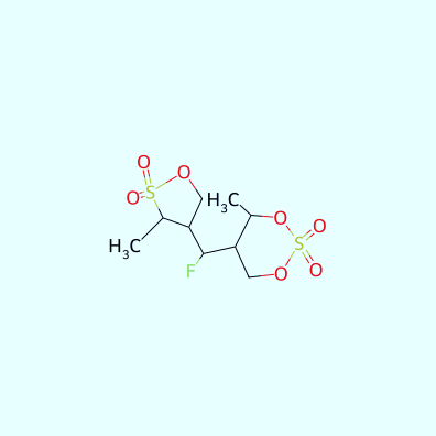 CC1OS(=O)(=O)OCC1C(F)C1COS(=O)(=O)C1C